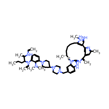 C=CNC(=C)C(CCC)N(C=C)c1cccc(N2CCC(N3CCN(Cc4ccc5c(c4)N4C[C@H](C)CCCC/C(NC)=C(/C=N)c6cc(cc(C)n6)C(=C)/N=C/4N5)CC3)CC2)c1N(C)C